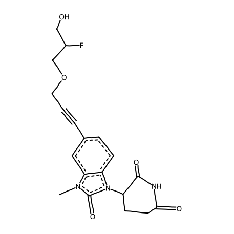 Cn1c(=O)n(C2CCC(=O)NC2=O)c2ccc(C#CCOCC(F)CO)cc21